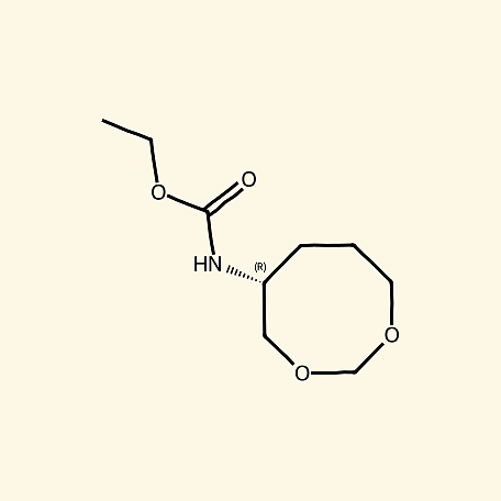 CCOC(=O)N[C@@H]1CCCOCOC1